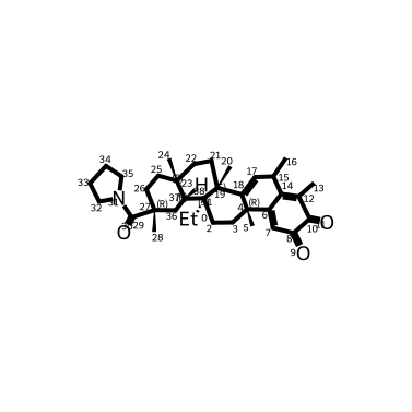 CC[C@@]12CC[C@@]3(C)C4=CC(=O)C(=O)C(C)=C4C(C)C=C3[C@@]1(C)CC[C@@]1(C)CC[C@@](C)(C(=O)N3CCCC3)C[C@H]12